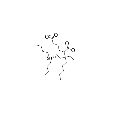 CCCCCC(CC)(CC)C(CCCC(=O)[O-])C(=O)[O-].CCC[CH2][Sn+2][CH2]CCC